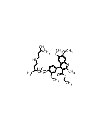 CC(C)CCNCCC(C)C.CCOC(=O)c1c(C)nc2cc(OC)c(OC)cc2c1-c1ccc(OC)c(OC)c1